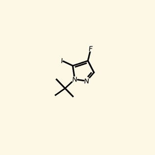 CC(C)(C)n1ncc(F)c1I